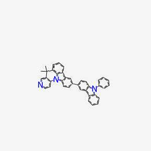 CC1(C)c2cnccc2-n2c3ccc(-c4ccc5c(c4)c4ccccc4n5-c4ccccc4)cc3c3cccc1c32